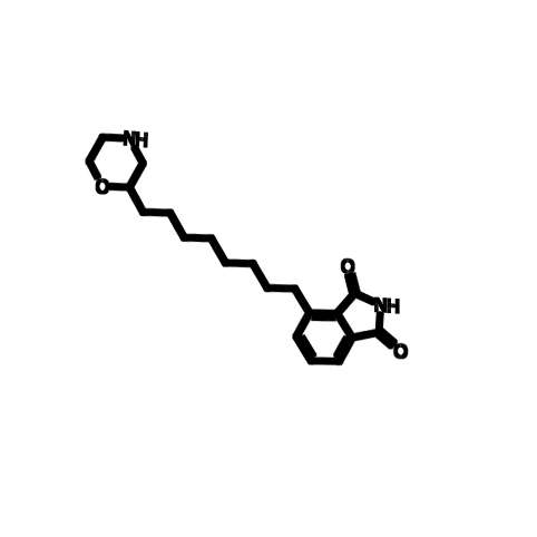 O=C1NC(=O)c2c(CCCCCCCCC3CNCCO3)cccc21